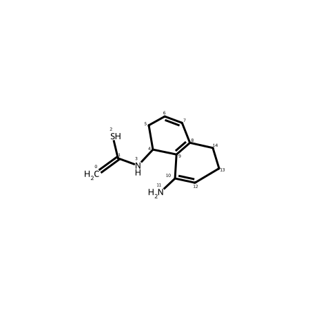 C=C(S)NC1CC=CC2=C1C(N)=CCC2